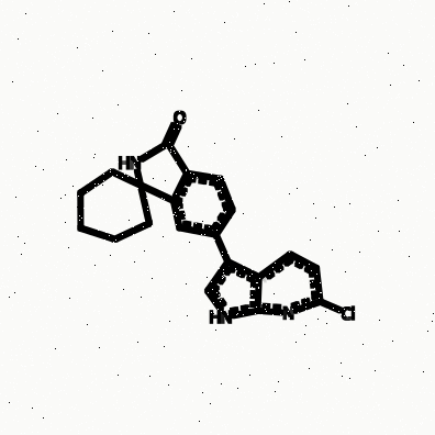 O=C1NC2(CCCCC2)c2cc(-c3c[nH]c4nc(Cl)ccc34)ccc21